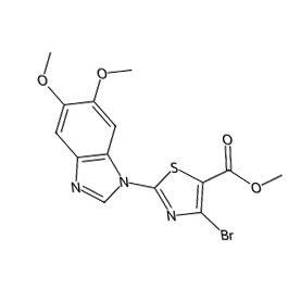 COC(=O)c1sc(-n2cnc3cc(OC)c(OC)cc32)nc1Br